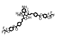 Nc1ccc(C(C(O)C(=O)/C=C/c2ccc(C(=O)Oc3ccc(OC(F)(F)C(F)F)cc3)cc2)C(O)C(=O)/C=C/c2ccc(C(=O)Oc3ccc(OC(F)(F)C(F)F)cc3)cc2)c(N)c1